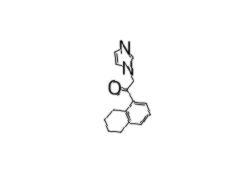 O=C(Cn1ccnc1)c1cccc2c1CCCC2